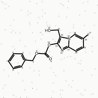 O=C(OCc1ccccc1)Oc1nc2ccc(I)cn2c1CO